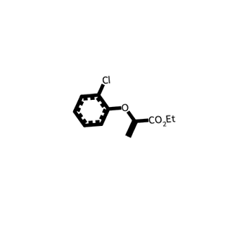 C=C(Oc1ccccc1Cl)C(=O)OCC